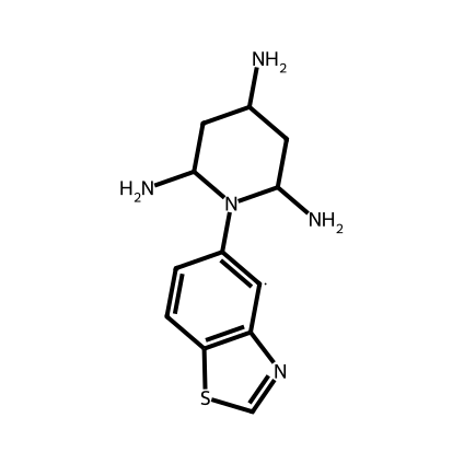 NC1CC(N)N(c2[c]c3ncsc3cc2)C(N)C1